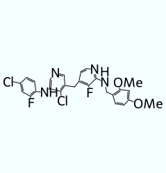 COc1ccc(CNc2nccc(Cc3cncc(Nc4ccc(Cl)cc4F)c3Cl)c2F)c(OC)c1